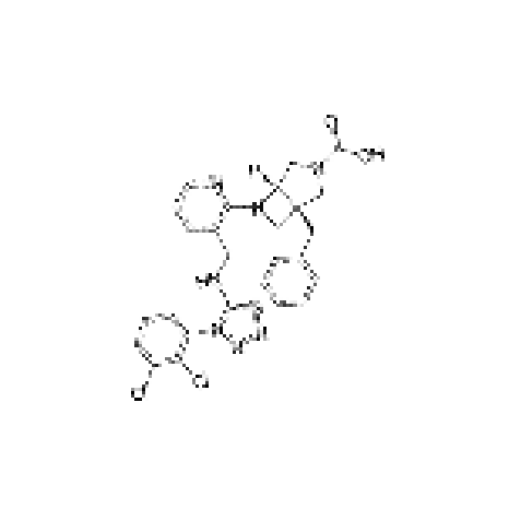 O=C(O)N1C[C@H]2N(c3ncccc3CNc3nnnn3-c3cccc(Cl)c3Cl)C[C@@]2(Cc2ccccc2)C1